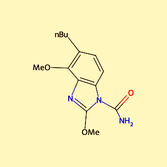 CCCCc1ccc2c(nc(OC)n2C(N)=O)c1OC